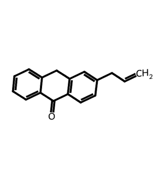 C=CCc1ccc2c(c1)Cc1ccccc1C2=O